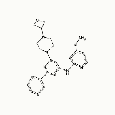 COc1ccnc(Nc2cc(N3CCN(C4COC4)CC3)nc(-c3cccnc3)n2)c1